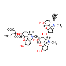 CN1CC[C@]23c4c5ccc(O)c4O[C@H]2[C@@H](O)C=C[C@H]3[C@H]1C5.CN1CC[C@]23c4c5ccc(O)c4O[C@H]2[C@@H](O)C=C[C@H]3[C@H]1C5.CN1CC[C@]23c4c5ccc(O)c4O[C@H]2[C@@H](O)C=C[C@H]3[C@H]1C5.O=C([O-])CC(O)(CC(=O)[O-])C(=O)[O-].[Na+].[Na+].[Na+]